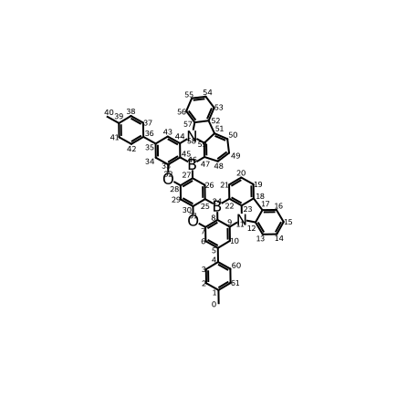 Cc1ccc(-c2cc3c4c(c2)-n2c5ccccc5c5cccc(c52)B4c2cc4c(cc2O3)Oc2cc(-c3ccc(C)cc3)cc3c2B4c2cccc4c5ccccc5n-3c24)cc1